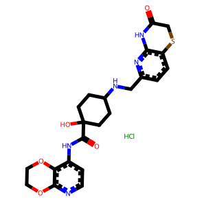 Cl.O=C1CSc2ccc(CNC3CCC(O)(C(=O)Nc4ccnc5c4OCCO5)CC3)nc2N1